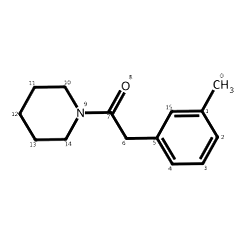 Cc1cccc(CC(=O)N2CCCCC2)c1